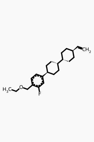 C=C[C@H]1CC[C@H]([C@H]2CC[C@H](c3ccc(COCC)c(F)c3)CC2)CC1